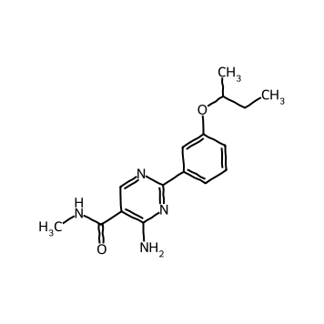 CCC(C)Oc1cccc(-c2ncc(C(=O)NC)c(N)n2)c1